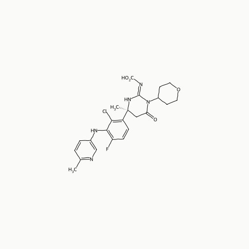 Cc1ccc(Nc2c(F)ccc([C@]3(C)CC(=O)N(C4CCOCC4)/C(=N/C(=O)O)N3)c2Cl)cn1